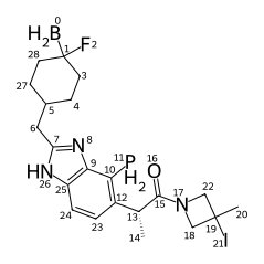 BC1(F)CCC(Cc2nc3c(P)c([C@@H](C)C(=O)N4CC(C)(I)C4)ccc3[nH]2)CC1